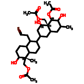 CC(=O)OC[C@@]1(C)C(O)CCC2C(CC=S)C(C3CC4CC(C)C(O)[C@H](OC(C)=O)[C@]4(COC(C)=O)[C@H](O)C3)CCC21